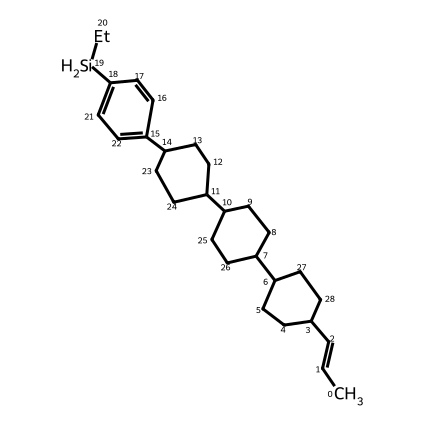 C/C=C/C1CCC(C2CCC(C3CCC(c4ccc([SiH2]CC)cc4)CC3)CC2)CC1